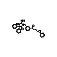 N=C1NC(c2ccccc2)(c2ccccc2)C(=O)N1Cc1cccc(C(=O)CCCOc2ccccc2)c1